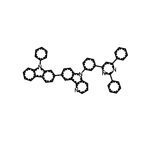 c1ccc(-c2cc(-c3cccc(-n4c5ccc(-c6ccc7c8ccccc8n(-c8ccccc8)c7c6)cc5c5ncccc54)c3)nc(-c3ccccc3)n2)cc1